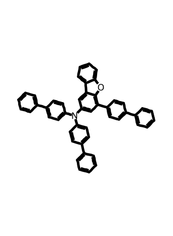 c1ccc(-c2ccc(-c3cc(N(c4ccc(-c5ccccc5)cc4)c4ccc(-c5ccccc5)cc4)cc4c3oc3ccccc34)cc2)cc1